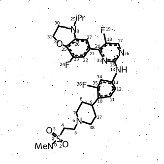 CNS(=O)(=O)CCN1CCC(c2ccc(Nc3ncc(F)c(-c4cc(F)c5c(c4)N(C(C)C)CCO5)n3)cc2F)CC1